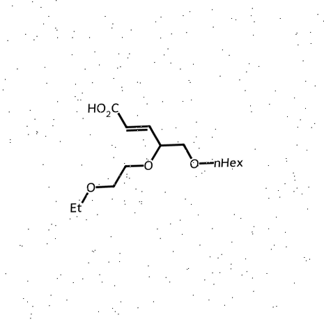 CCCCCCOCC(C=CC(=O)O)OCCOCC